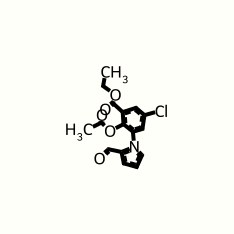 CCOC(=O)c1cc(Cl)cc(-n2cccc2C=O)c1OC(C)=O